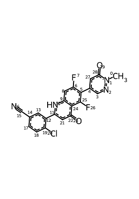 Cn1ncc(-c2c(F)cc3[nH]c(-c4cc(C#N)ccc4Cl)cc(=O)c3c2F)cc1=O